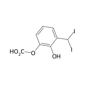 O=C(O)Oc1cccc(C(I)I)c1O